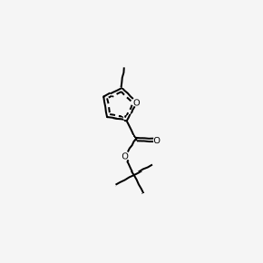 Cc1ccc(C(=O)OC(C)(C)C)o1